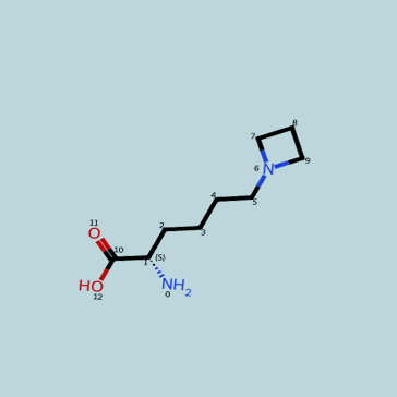 N[C@@H](CCCCN1CCC1)C(=O)O